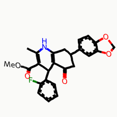 COC(=O)C1=C(C)NC2=C(C(=O)CC(c3ccc4c(c3)OCO4)C2)C1c1ccccc1F